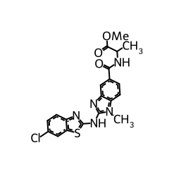 COC(=O)C(C)NC(=O)c1ccc2c(c1)nc(Nc1nc3ccc(Cl)cc3s1)n2C